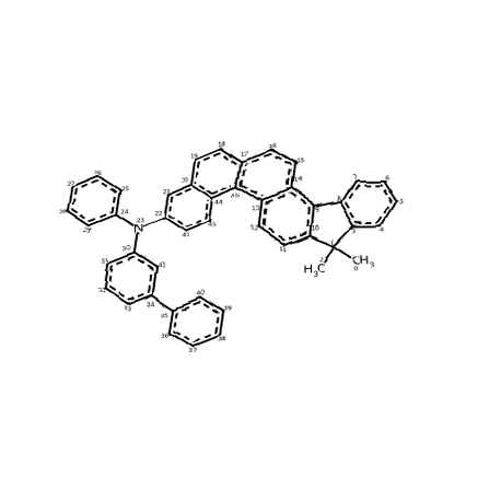 CC1(C)c2ccccc2-c2c1ccc1c2ccc2ccc3cc(N(c4ccccc4)c4cccc(-c5ccccc5)c4)ccc3c21